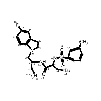 Cc1cccc(S(=O)(=O)NC(CC(C)(C)C)C(=O)N[C@@H](CC(=O)O)CN2CCc3cc(F)ccc32)c1